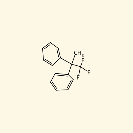 CC(c1ccccc1)(c1ccccc1)C(F)(F)F